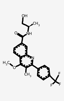 COc1c(C)c(-c2ccc(C(F)(F)F)cc2)nc2cc(C(=O)N[C@H](C)CO)ccc12